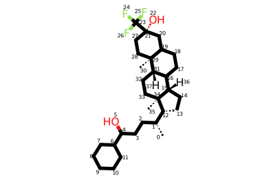 C[C@H](CCC(O)C1CCCCC1)[C@H]1CC[C@H]2C3CCC4C[C@](O)(C(F)(F)F)CC[C@]4(C)[C@H]3CC[C@]12C